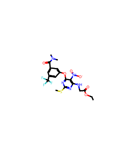 CCOC(=O)CNc1nc(SC)nc(Oc2cc(C(=O)N(C)C)cc(C(F)(F)F)c2)c1[N+](=O)[O-]